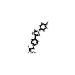 COC(=O)Cc1ccc(-c2ncn(-c3ccc(C)cc3)n2)cc1